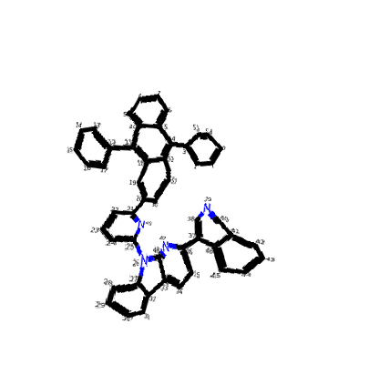 c1ccc(-c2c3ccccc3c(-c3ccccc3)c3cc(-c4cccc(-n5c6ccccc6c6ccc(-c7cncc8ccccc78)nc65)n4)ccc23)cc1